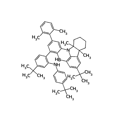 Cc1cccc(C)c1-c1cc(-c2ccc(C(C)(C)C)cc2Nc2ccc(C(C)(C)C)cc2)c2c(c1)N1c3c(cc(C(C)(C)C)cc3C3(C)CCCCC13C)B2